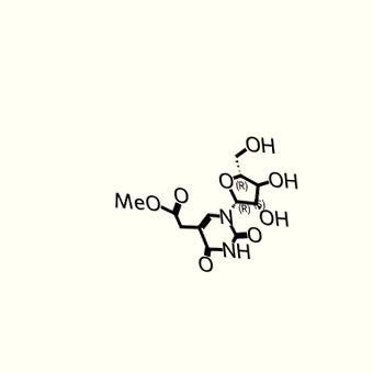 COC(=O)Cc1cn([C@@H]2O[C@H](CO)C(O)[C@@H]2O)c(=O)[nH]c1=O